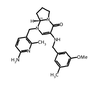 COc1cc(C)cc(CNC2=CN(Cc3ccc(N)nc3C)[C@@H]3CCCN3C2=O)c1